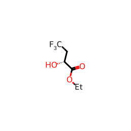 CCOC(=O)[C@H](O)CC(F)(F)F